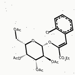 CCOC(=O)C(=Cc1ccccc1Cl)O[C@H]1O[C@@H](COC(C)=O)[C@@H](OC(C)=O)[C@@H](OC(C)=O)[C@@H]1OC(C)=O